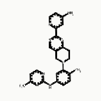 Cc1ccc(Nc2nccc(C(F)(F)F)n2)cc1N1CCc2nc(-c3cc(N)ccn3)ncc2C1